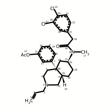 C=CCN1CC[C@@]2(c3cccc(OC(C)=O)c3)C[C@@H](N(C)C(=O)Cc3ccc(Cl)c(Cl)c3)CC[C@@H]2C1